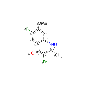 COc1cc2[nH]c(C)c(Br)c(=O)c2cc1F